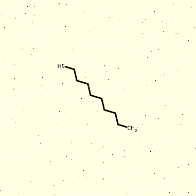 [CH2]CCCCCCCCS